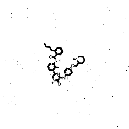 CCCCc1ccccc1C(=O)Nc1cccc(-c2cn(C)c(=O)c(Nc3ccc(OCC4CCCCN4C)cc3)n2)c1C